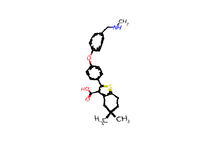 CNCc1ccc(Oc2ccc(-c3sc4c(c3C(=O)O)CC(C)(C)CC4)cc2)cc1